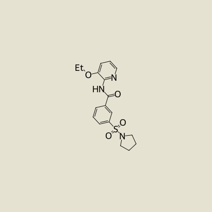 CCOc1cccnc1NC(=O)c1cccc(S(=O)(=O)N2CCCC2)c1